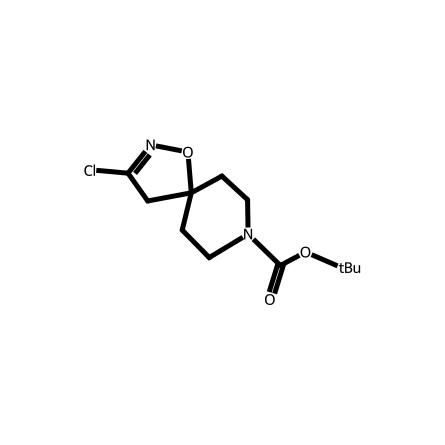 CC(C)(C)OC(=O)N1CCC2(CC1)CC(Cl)=NO2